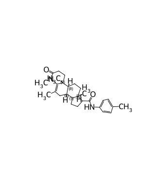 CC1=C2N(C)C(=O)CC[C@]2(C)[C@@H]2CC[C@]3(C)C(C(=O)Nc4ccc(C)cc4)CC[C@H]3[C@@H]2C1